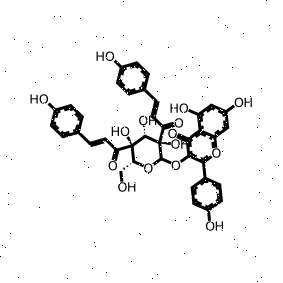 O=C(C=Cc1ccc(O)cc1)[C@@]1(O)[C@@H](CO)OC(Oc2c(-c3ccc(O)cc3)oc3cc(O)cc(O)c3c2=O)[C@@](O)(C(=O)C=Cc2ccc(O)cc2)[C@H]1O